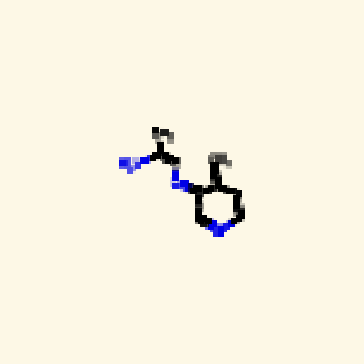 C=C1C=CN=C/C1=N/C=C(/C)N